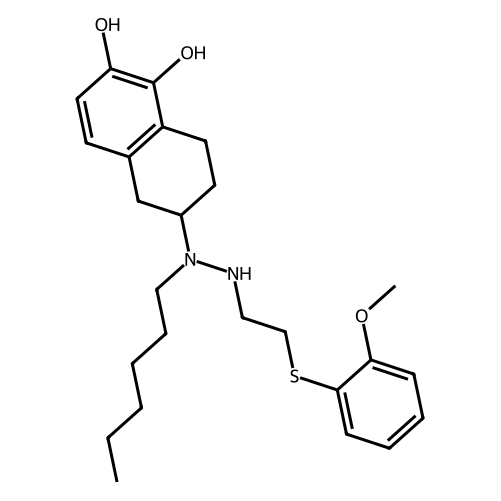 CCCCCCN(NCCSc1ccccc1OC)C1CCc2c(ccc(O)c2O)C1